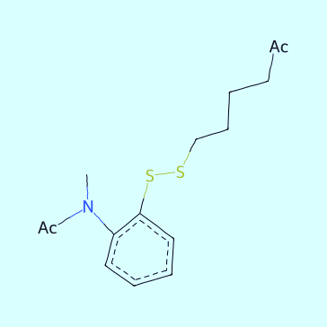 CC(=O)CCCCSSc1ccccc1N(C)C(C)=O